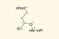 CCCCCCCC(CC)ONCCC